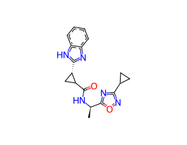 C[C@@H](NC(=O)C1C[C@@H]1c1nc2ccccc2[nH]1)c1nc(C2CC2)no1